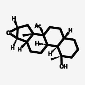 CC(=O)[C@@]12CC[C@@H]3CCC[C@@](C)(O)[C@H]3[C@H]1CC[C@@H]1[C@H]3O[C@@H]3C[C@@]12C